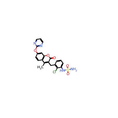 Cc1c(Cc2cccc(NS(N)(=O)=O)c2Cl)c(=O)oc2cc(Oc3ncccn3)ccc12